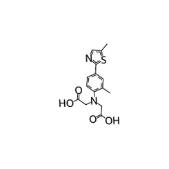 Cc1cnc(-c2ccc(N(CC(=O)O)CC(=O)O)c(C)c2)s1